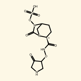 O=C1CNCC1ONC(=O)[C@@H]1CCC2CN1C(=O)N2OS(=O)(=O)O